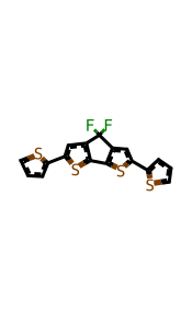 FC1(F)c2cc(-c3cccs3)sc2-c2sc(-c3cccs3)cc21